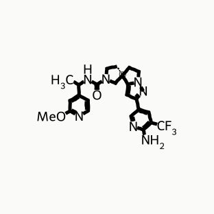 COc1cc(C(C)NC(=O)N2CC[C@@]3(CCn4nc(-c5cnc(N)c(C(F)(F)F)c5)cc43)C2)ccn1